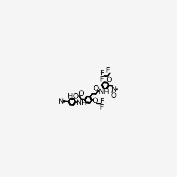 CN(C=O)Cc1cc(NC(=O)CCc2cc(C(Nc3ccc(C#N)cc3)C(=O)O)ccc2OCC(F)F)cc(F)c1OC(CF)CF